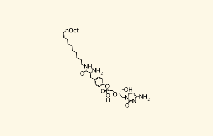 CCCCCCCC/C=C\CCCCCCCCNC(=O)[C@@H](N)Cc1ccc(OP(=O)(O)CO[C@H](CO)Cn2ccc(N)nc2=O)cc1